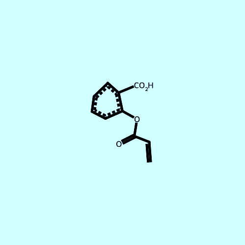 C=CC(=O)Oc1ccccc1C(=O)O